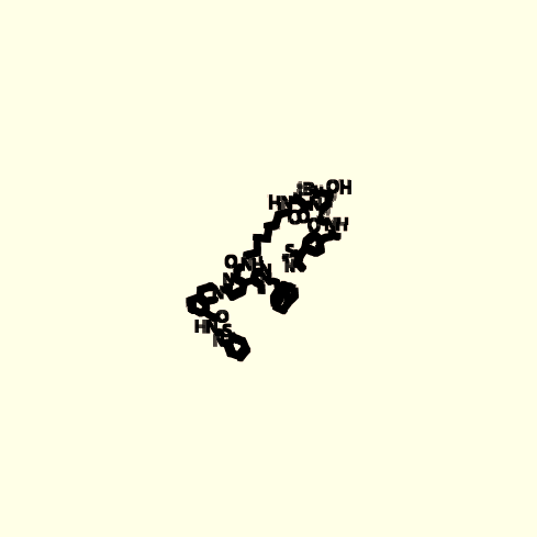 Cc1ncsc1-c1ccc(C(C)NC(=O)[C@@H]2C[C@@H](O)CN2C(=O)C(NC(=O)CCCCCCCNC(=O)c2nc(N3CCc4cccc(C(=O)Nc5nc6ccccc6s5)c4C3)ccc2-c2cnn(CC34CC5CC(CC(C5)C3)C4)c2C)C(C)(C)C)cc1